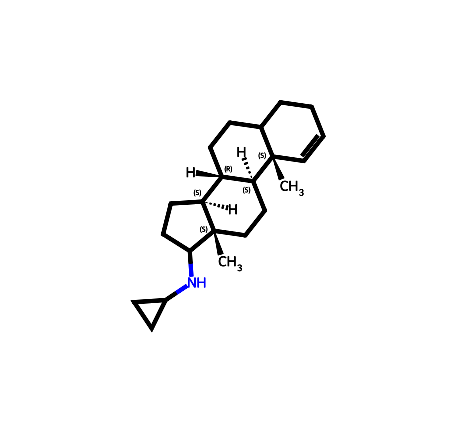 C[C@]12C=CCCC1CC[C@@H]1[C@@H]2CC[C@]2(C)C(NC3CC3)CC[C@@H]12